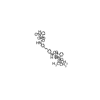 CC(C)(C)OC(=O)Nc1ccccc1C(=O)N1CCC[C@H]1C(=O)Nc1ccc(/C=C/c2ccc(NC(=O)[C@@H]3CCCN3C(=O)c3ccccc3NC=O)cc2)cc1